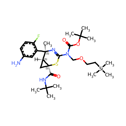 CC(C)(C)NC(=O)[C@]12C[C@H]1[C@@](C)(c1cc(N)ccc1F)N=C(N(COCC[Si](C)(C)C)C(=O)OC(C)(C)C)S2